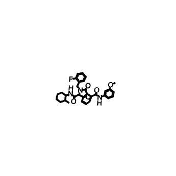 COc1cccc(NC(=O)C2C3C=CC4(O3)C2C(=O)N(Cc2ccccc2F)C4C(=O)NC2CCCCC2C)c1